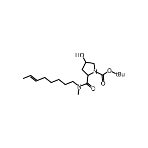 C/C=C/CCCCCN(C)C(=O)C1CC(O)CN1C(=O)OC(C)(C)C